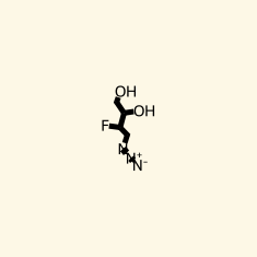 [N-]=[N+]=NCC(F)C(O)CO